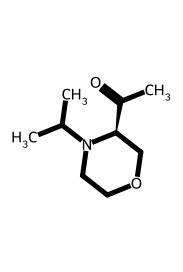 CC(=O)[C@H]1COCCN1C(C)C